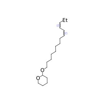 CC/C=C\C=C/CCCCCCCCOC1CCCCO1